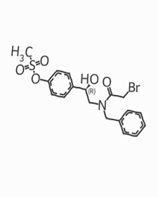 CS(=O)(=O)Oc1ccc([C@@H](O)CN(Cc2ccccc2)C(=O)CBr)cc1